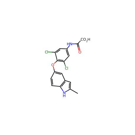 Cc1cc2cc(Oc3c(Cl)cc(NC(=O)C(=O)O)cc3Cl)ccc2[nH]1